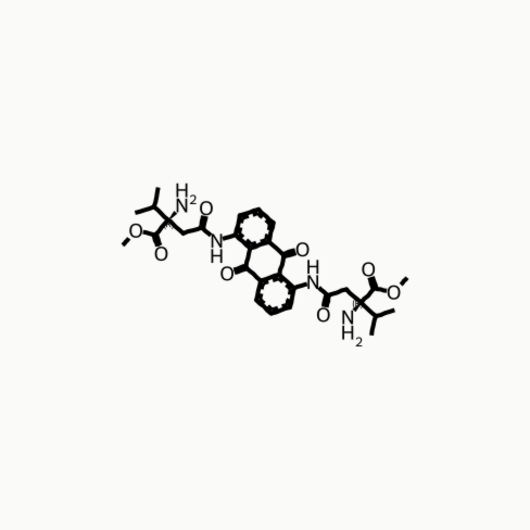 COC(=O)[C@@](N)(CC(=O)Nc1cccc2c1C(=O)c1cccc(NC(=O)C[C@](N)(C(=O)OC)C(C)C)c1C2=O)C(C)C